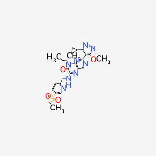 CC[C@H](C)n1c(=O)c(NCc2ccc(S(=O)(=O)CC)cn2)nc2cnc(-c3c(OC)ncnc3C3CC3)nc21